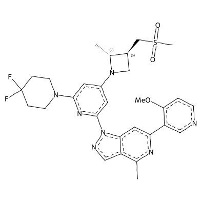 COc1ccncc1-c1cc2c(cnn2-c2cc(N3C[C@H](CS(C)(=O)=O)[C@H]3C)cc(N3CCC(F)(F)CC3)n2)c(C)n1